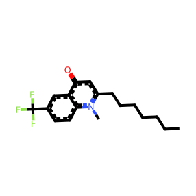 CCCCCCCc1cc(=O)c2cc(C(F)(F)F)ccc2n1C